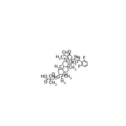 CC(C)C1=C2[C@H]3CCC4[C@@]5(C)CC[C@H](OC(=O)CC(C)(C)C(=O)O)C(C)(C)[C@@H]5CC[C@@]4(C)[C@]3(C)CC[C@@]2(c2nnc(-c3c(F)cccc3F)o2)CC1=O